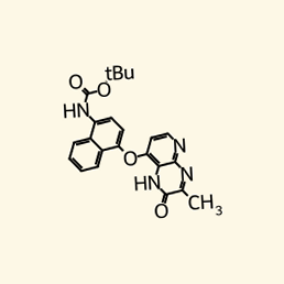 Cc1nc2nccc(Oc3ccc(NC(=O)OC(C)(C)C)c4ccccc34)c2[nH]c1=O